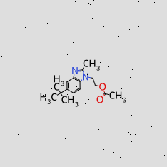 CC(=O)OCCn1c(C)nc2cc(C(C)(C)C)ccc21